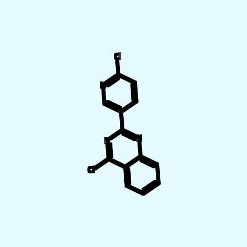 Clc1ccc(-c2nc(Cl)c3ccccc3n2)cn1